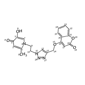 Cc1cc(=O)c(O)cn1CCn1cc(COc2cc(=O)oc3ccccc23)nn1